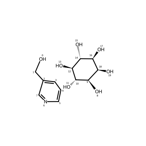 OCc1cccnc1.O[C@H]1[C@H](O)[C@@H](O)[C@H](O)[C@@H](O)[C@H]1O